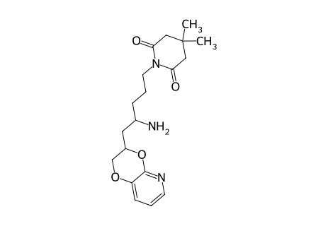 CC1(C)CC(=O)N(CCCC(N)CC2COc3cccnc3O2)C(=O)C1